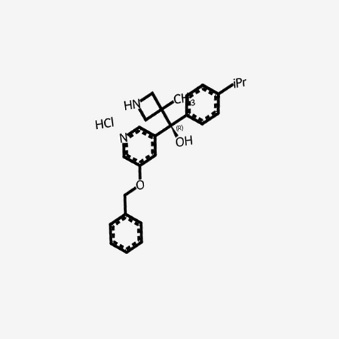 CC(C)c1ccc([C@](O)(c2cncc(OCc3ccccc3)c2)C2(C)CNC2)cc1.Cl